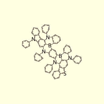 c1ccc(N2c3ccccc3B3c4cc5c(cc4N(c4ccccc4)c4c3c2cc2sc3ccccc3c42)N(c2ccccc2)c2cc3c(c4c2B5c2ccccc2N4c2ccccc2)c2ccccc2n3-c2ccccc2)cc1